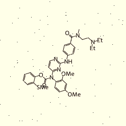 CCN(CC)CCN(C)C(=O)c1ccc(Nc2nccc(N(C(=O)Oc3ccccc3SC)c3ccc(OC)cc3OC)n2)cc1